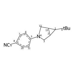 CC(C)(C)C1C2CN(c3ccc(C#N)cc3)CC21